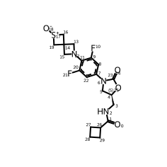 O=C(NC[C@H]1CN(c2cc(F)c(N3CC4(C3)C[S+]([O-])C4)c(F)c2)C(=O)O1)C1CCC1